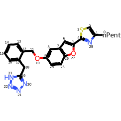 CCCCCc1csc(-c2cc3cc(OCc4ccccc4Cc4nnn[nH]4)ccc3o2)n1